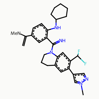 C=C(NC)c1ccc(NC2CCCCC2)c(C(=N)N2CCCc3cc(-c4cnn(C)c4)c(C(F)F)cc32)c1